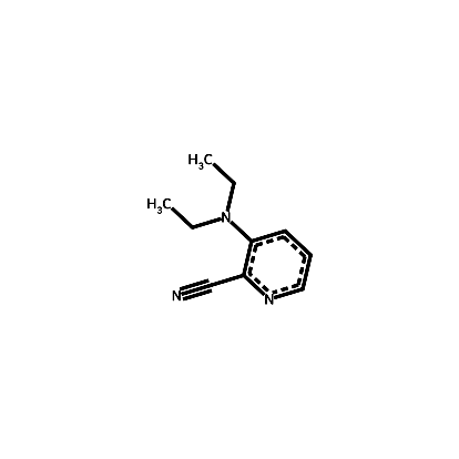 CCN(CC)c1cccnc1C#N